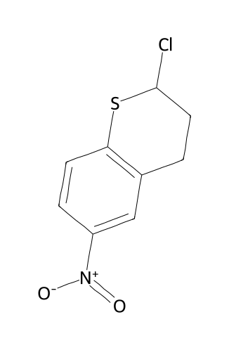 O=[N+]([O-])c1ccc2c(c1)CCC(Cl)S2